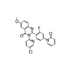 COc1ccc2nc(-c3ccc(-n4ccccc4=O)cc3F)n(-c3ccc(Cl)cn3)c(=O)c2c1